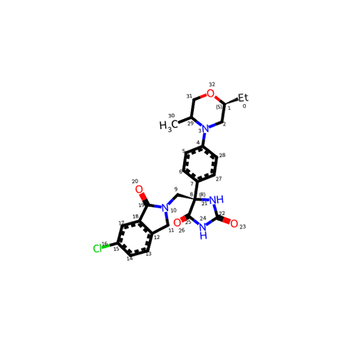 CC[C@H]1CN(c2ccc([C@]3(CN4Cc5ccc(Cl)cc5C4=O)NC(=O)NC3=O)cc2)C(C)CO1